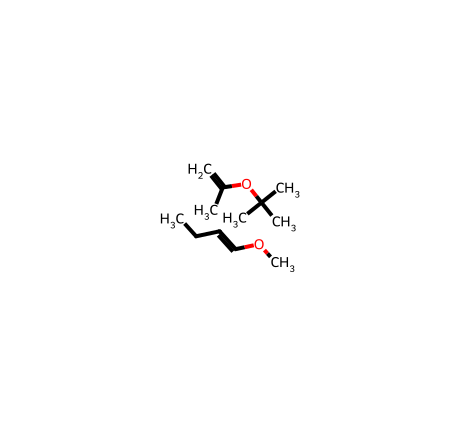 C=C(C)OC(C)(C)C.CC/C=C/OC